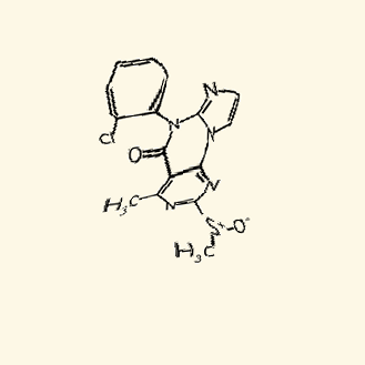 Cc1nc([S+](C)[O-])nc2c1c(=O)n(-c1ccccc1Cl)c1nccn21